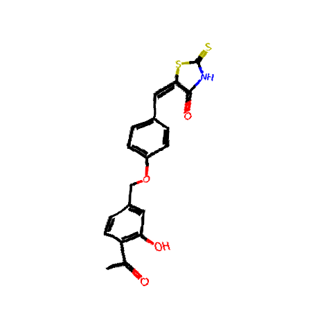 CC(=O)c1ccc(COc2ccc(/C=C3/SC(=S)NC3=O)cc2)cc1O